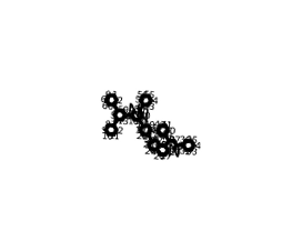 c1ccc(-c2cc(-c3ccccc3)cc(-c3cc(-c4ccc(-c5ccc6ccc7nc(-c8ccccc8)cc(-c8ccccc8)c7c6c5)cc4)nc(-c4ccccc4)n3)c2)cc1